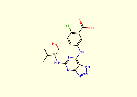 CC(C)[C@H](CO)Nc1nc(Nc2ccc(Cl)c(C(=O)O)c2)c2[nH]nnc2n1